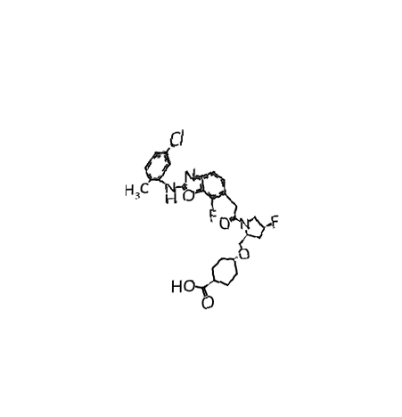 Cc1ccc(Cl)cc1Nc1nc2ccc(CC(=O)N3C[C@@H](F)C[C@H]3CO[C@H]3CC[C@H](C(=O)O)CC3)c(F)c2o1